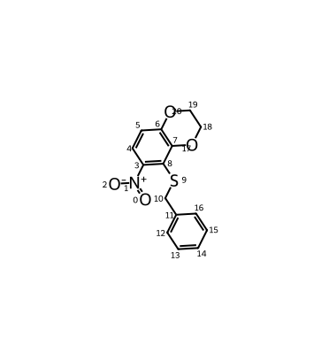 O=[N+]([O-])c1ccc2c(c1SCc1ccccc1)OCCO2